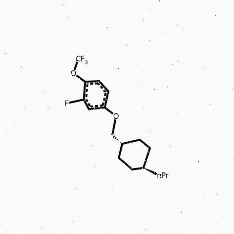 CCC[C@H]1CC[C@H](COc2ccc(OC(F)(F)F)c(F)c2)CC1